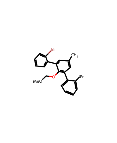 COCOc1c(-c2ccccc2Br)cc(C)cc1-c1ccccc1C(C)C